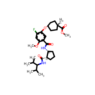 COc1cc(F)c(O[C@H]2CC[C@@](C)(C(=O)OC)CC2)cc1C(=O)N[C@@H]1CCC[C@@H]1C(=O)NC(C(C)C)C(C)C